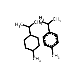 CC1CCC(C(C)C)CC1.Cc1ccc(C(C)C)cc1